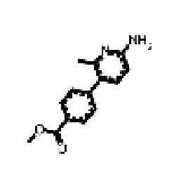 COC(=O)c1ccc(-c2ccc(N)nc2C)cc1